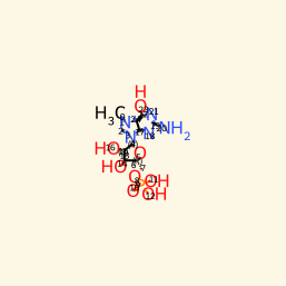 C[n+]1cn([C@@H]2O[C@H](COP(=O)(O)O)C(O)[C@@H]2O)c2nc(N)nc(O)c21